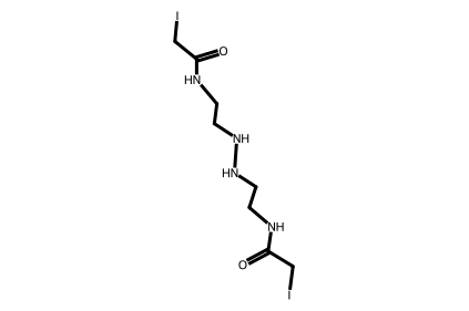 O=C(CI)NCCNNCCNC(=O)CI